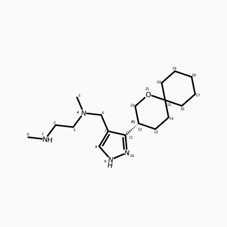 CNCCN(C)Cc1c[nH]nc1[C@H]1CCC2(CCCCC2)OC1